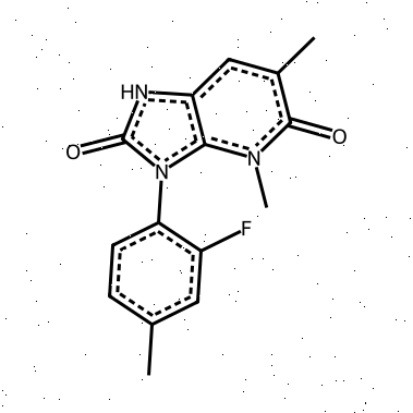 Cc1ccc(-n2c(=O)[nH]c3cc(C)c(=O)n(C)c32)c(F)c1